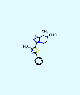 Cc1nc(-c2ccccc2)sc1-c1nnc2n1CCN(C=O)C2C